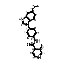 COc1ccc2c(c1)ncn2-c1ccc(NC(=O)c2ccncc2F)cc1